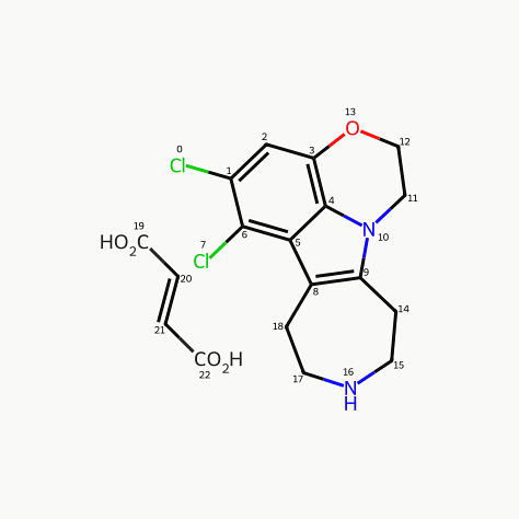 Clc1cc2c3c(c1Cl)c1c(n3CCO2)CCNCC1.O=C(O)C=CC(=O)O